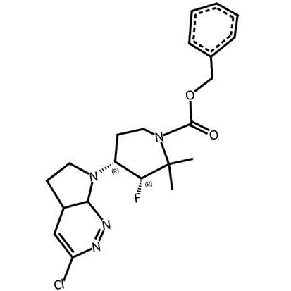 CC1(C)[C@H](F)[C@H](N2CCC3C=C(Cl)N=NC32)CCN1C(=O)OCc1ccccc1